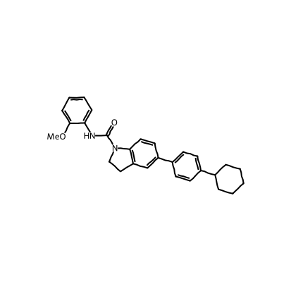 COc1ccccc1NC(=O)N1CCc2cc(-c3ccc(C4CCCCC4)cc3)ccc21